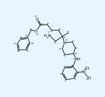 CCN(CC)c1ccccc1NC1CCN(C(C)(CN)CCCC(=O)OCc2ccccc2)CC1